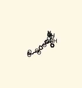 O=C(NC(c1ccccc1)c1cccc(OCC2CCC(C(=O)OCCCC3OCCO3)CC2)c1)O[C@H]1CN2CCC1CC2